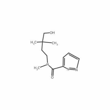 CN(CCC(C)(C)CO)C(=O)c1cccnn1